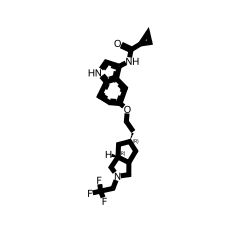 O=C(Nc1c[nH]c2ccc(OCC[C@@H]3CC4CN(CC(F)(F)F)C[C@@H]4C3)cc12)C1CC1